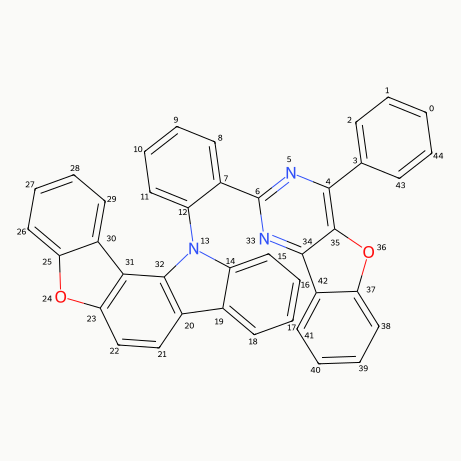 c1ccc(-c2nc(-c3ccccc3-n3c4ccccc4c4ccc5oc6ccccc6c5c43)nc3c2oc2ccccc23)cc1